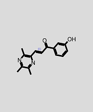 Cc1nc(C)c(/C=C/C(=O)c2cccc(O)c2)nc1C